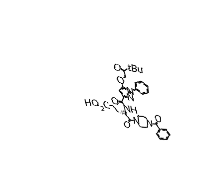 CC(C)(C)C(=O)COc1cc(C(=O)N[C@@H](CCC(=O)O)C(=O)N2CCN(C(=O)c3ccccc3)CC2)nn1-c1ccccc1